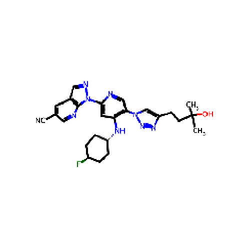 CC(C)(O)CCc1cn(-c2cnc(-n3ncc4cc(C#N)cnc43)cc2N[C@H]2CC[C@H](F)CC2)nn1